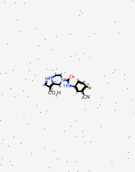 N#Cc1cc(NC(=O)N2CCn3ncc(C(=O)O)c3C2)ccc1F